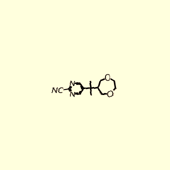 CC(C)(c1cnc(C#N)nc1)C1COCCOC1